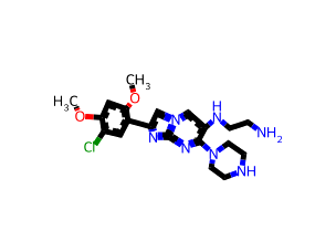 COc1cc(OC)c(-c2cn3cc(NCCN)c(N4CCNCC4)nc3n2)cc1Cl